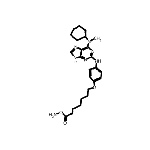 CN(c1nc(Nc2ccc(OCCCCCCC(=O)ON)cc2)nc2[nH]cnc12)C1CCCCC1